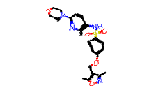 Cc1nc(N2CCOCC2)ccc1NS(=O)(=O)c1ccc(OCc2c(C)noc2C)cc1